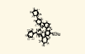 CC(C)(C)c1cccc2c1sc1ccc3c4cc(-c5ccccc5)ccc4n(-c4nc(-c5ccccc5)nc(-c5ccccc5)n4)c3c12